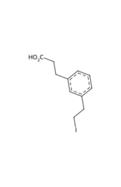 O=C(O)CCc1cccc(CCI)c1